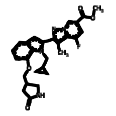 COC(=O)c1cc(F)c2c(C)c(-c3cc4cccc(OCC5CNC(=O)C5)c4n3CC3CC3)nn2c1